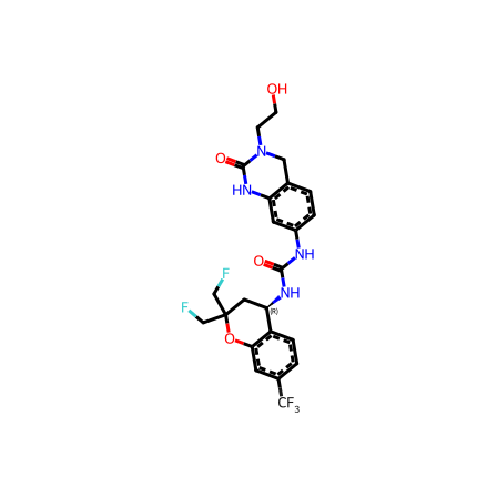 O=C(Nc1ccc2c(c1)NC(=O)N(CCO)C2)N[C@@H]1CC(CF)(CF)Oc2cc(C(F)(F)F)ccc21